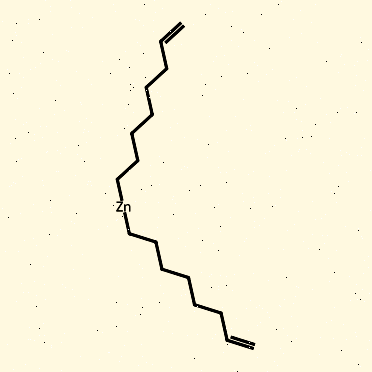 C=CCCCCC[CH2][Zn][CH2]CCCCCC=C